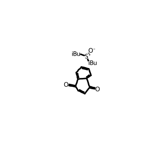 CCC(C)[S+]([O-])C(C)CC.O=C1C=CC(=O)c2ccccc21